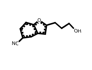 N#Cc1ccc2oc(CCCO)cc2c1